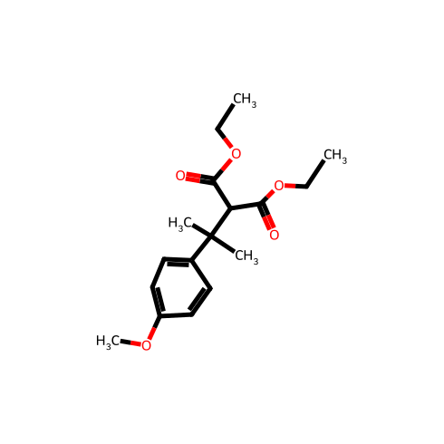 CCOC(=O)C(C(=O)OCC)C(C)(C)c1ccc(OC)cc1